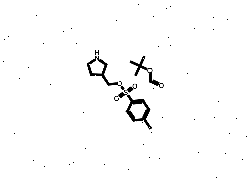 CC(C)(C)OC=O.Cc1ccc(S(=O)(=O)OCC2CCNC2)cc1